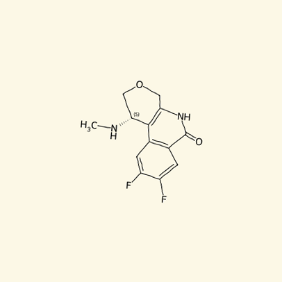 CN[C@@H]1COCc2[nH]c(=O)c3cc(F)c(F)cc3c21